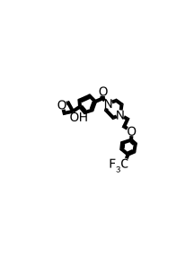 O=C(c1ccc(C2(O)COC2)cc1)N1CCN(CCOc2ccc(C(F)(F)F)cc2)CC1